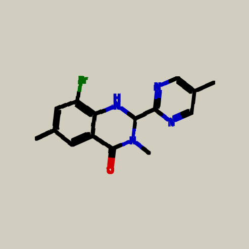 Cc1cnc(C2Nc3c(Br)cc(C)cc3C(=O)N2C)nc1